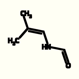 CC(C)=CNC=O